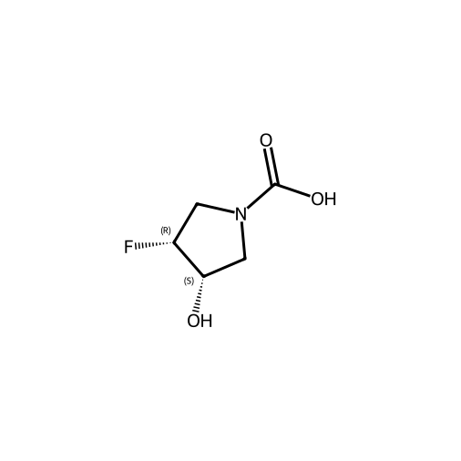 O=C(O)N1C[C@@H](F)[C@@H](O)C1